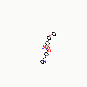 O=C(NS(=O)(=O)c1ccc(-c2ccc(Oc3ccccc3)cc2)cc1)c1ccc(CCc2ccccn2)cc1